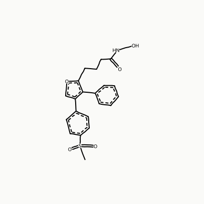 CS(=O)(=O)c1ccc(-c2coc(CCCC(=O)NO)c2-c2ccccc2)cc1